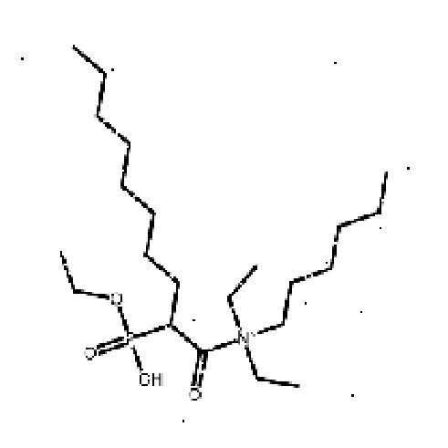 CCCCCCCCC(C(=O)[N+](CC)(CC)CCCCCC)P(=O)(O)OCC